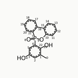 Cc1cc(O)cc(P2(=O)Oc3ccccc3-c3ccccc32)c1O